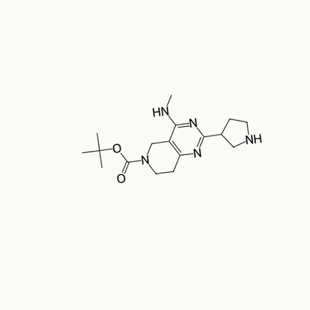 CNc1nc(C2CCNC2)nc2c1CN(C(=O)OC(C)(C)C)CC2